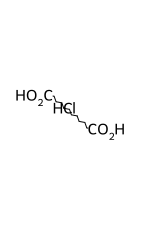 Cl.O=C(O)CCCCCCCCCCC(=O)O